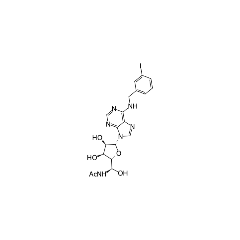 CC(=O)N[C@H](O)[C@H]1O[C@@H](n2cnc3c(NCc4cccc(I)c4)ncnc32)[C@H](O)[C@@H]1O